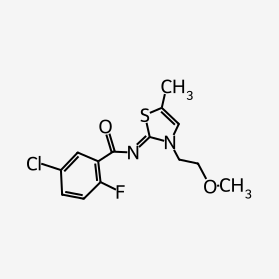 COCCn1cc(C)s/c1=N\C(=O)c1cc(Cl)ccc1F